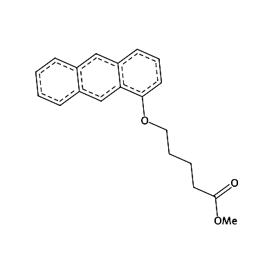 COC(=O)CCCCOc1cccc2cc3ccccc3cc12